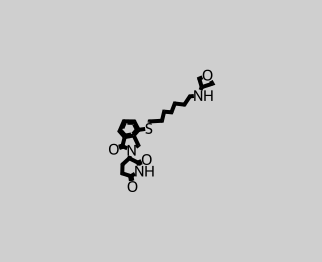 O=C1CCC(N2Cc3c(SCCCCCCCNC4COC4)cccc3C2=O)C(=O)N1